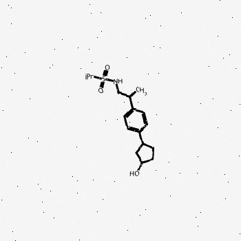 CC(CNS(=O)(=O)C(C)C)c1ccc(C2CCC(O)C2)cc1